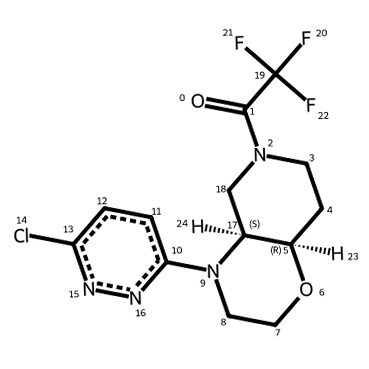 O=C(N1CC[C@H]2OCCN(c3ccc(Cl)nn3)[C@H]2C1)C(F)(F)F